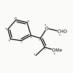 COC(C)=C(O[C]=O)c1ccccc1